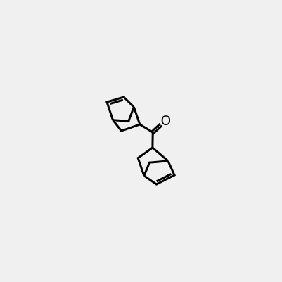 O=C(C1CC2C=CC1C2)C1CC2C=CC1C2